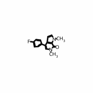 Cn1cc(-c2ccc(F)cc2)c2ccn(C)c2c1=O